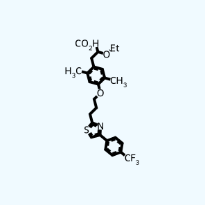 CCOC(Cc1cc(C)c(OCCCc2nc(-c3ccc(C(F)(F)F)cc3)cs2)cc1C)C(=O)O